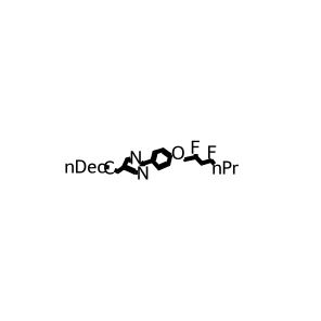 CCCCCCCCCCCCc1cnc(-c2ccc(OCC(F)CC(F)CCC)cc2)nc1